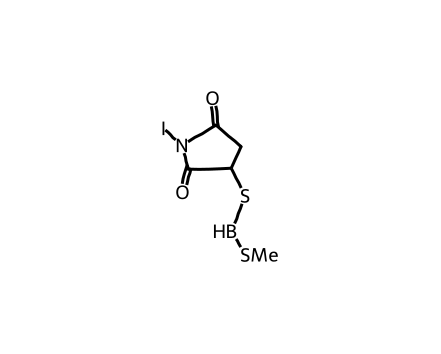 CSBSC1CC(=O)N(I)C1=O